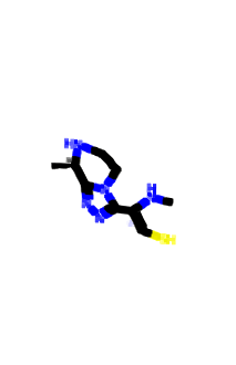 CN/C(=C\S)c1nnc2n1CCN[C@@H]2C